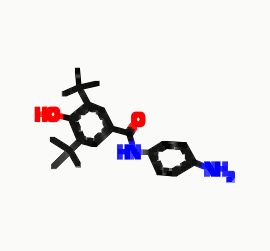 CC(C)(C)c1cc(C(=O)Nc2ccc(N)cc2)cc(C(C)(C)C)c1O